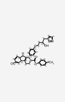 Cc1ccc(OC(=O)N2CCC3=C(NC4C=CC(Cl)=CC34)[C@@H]2c2ccc(OCCC(O)Cn3ccnn3)cc2)cc1